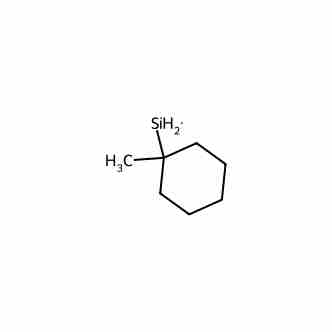 CC1([SiH2])CCCCC1